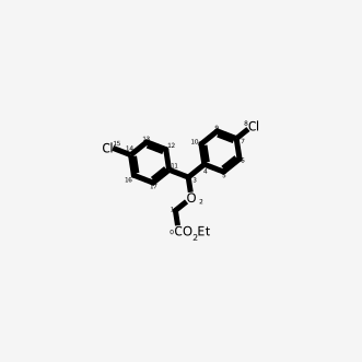 CCOC(=O)COC(c1ccc(Cl)cc1)c1ccc(Cl)cc1